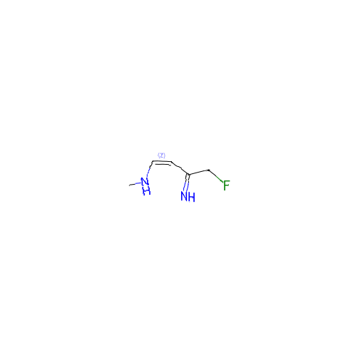 CN/C=C\C(=N)CF